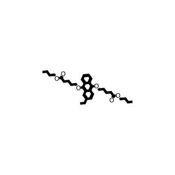 CCCCOC(=O)CCCCOc1c2ccccc2c(OCCCCC(=O)OCCCC)c2cc(CC)ccc12